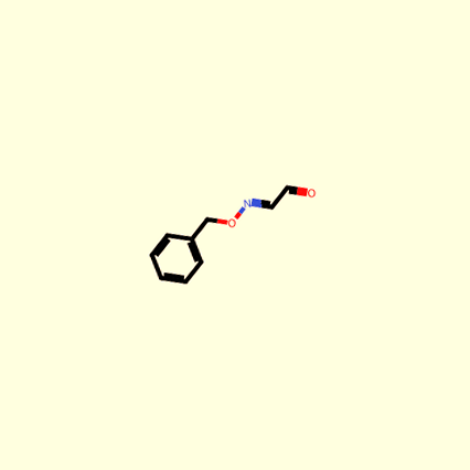 O=CC=NOCc1ccccc1